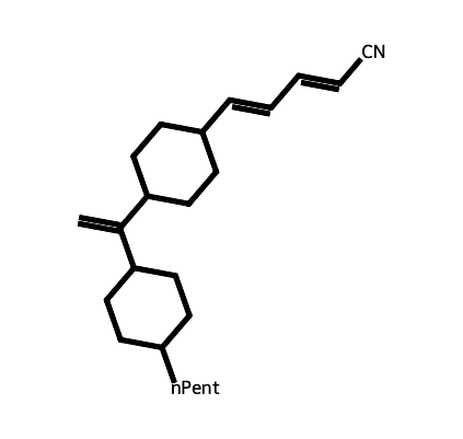 C=C(C1CCC(C=CC=CC#N)CC1)C1CCC(CCCCC)CC1